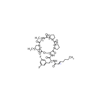 CCCC/C=C/C(=O)N[C@@H](Cc1cc(F)cc(F)c1)C(=O)N[C@H]1COC(=O)[C@@H]2C[C@@H](C)CN2C(=O)[C@H](C)NC(=O)[C@@H]2CCCN2C(=O)[C@@H]2CCCN2C1=O